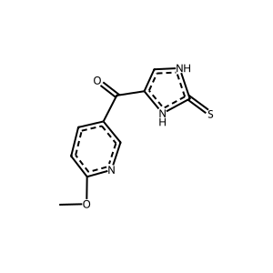 COc1ccc(C(=O)c2c[nH]c(=S)[nH]2)cn1